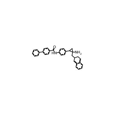 NC1(CC2C=c3ccccc3=CC2)CC1c1ccc(NC(=O)c2ccc(-c3ccccc3)cc2)cc1